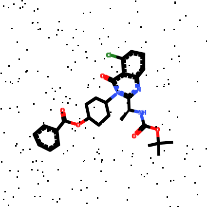 C[C@H](NC(=O)OC(C)(C)C)c1nc2cccc(Cl)c2c(=O)n1C1CCC(OC(=O)c2ccccc2)CC1